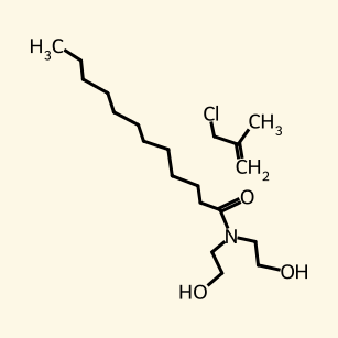 C=C(C)CCl.CCCCCCCCCCCC(=O)N(CCO)CCO